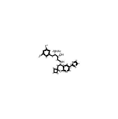 CC(=O)N[C@@H](Cc1cc(F)cc(F)c1)[C@H](O)CN[C@H]1CC2(CCC2)Oc2ncc(-c3nccs3)cc21